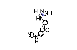 Cc1cc(Nc2ccc3c(c2)CN(c2cccc(N/C(C=N)=C/N)c2)C3=O)ccn1